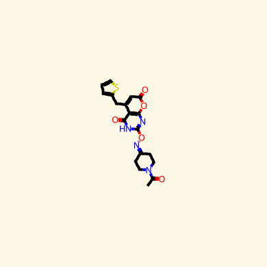 CC(=O)N1CCC(=NOc2nc3oc(=O)cc(Cc4cccs4)c3c(=O)[nH]2)CC1